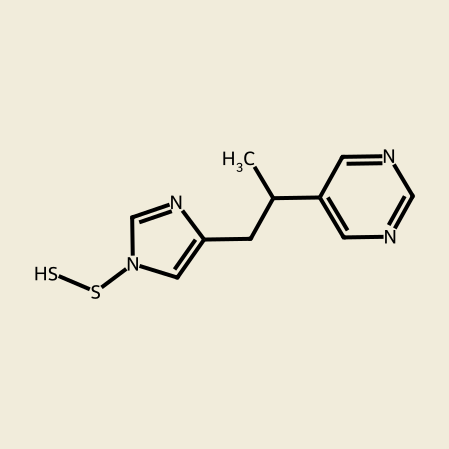 CC(Cc1cn(SS)cn1)c1cncnc1